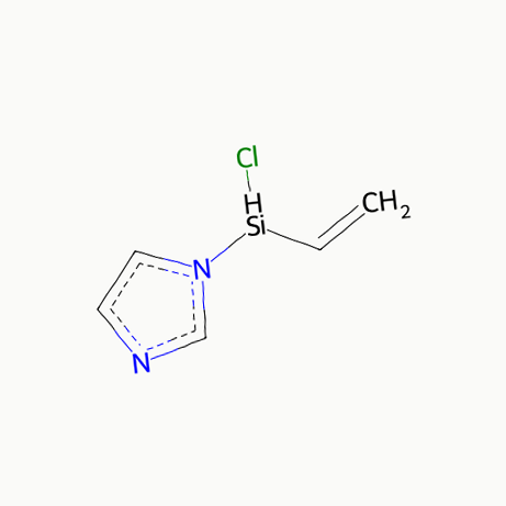 C=C[SiH](Cl)n1ccnc1